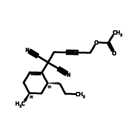 CCC[C@@H]1C[C@@H](C)CC=C1C(C#N)(C#N)CC#CCOC(C)=O